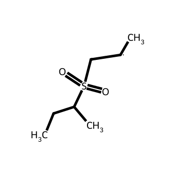 C[CH]CS(=O)(=O)C(C)CC